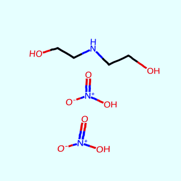 O=[N+]([O-])O.O=[N+]([O-])O.OCCNCCO